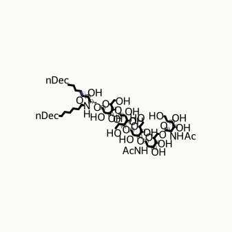 CCCCCCCCCCCCC/C=C/[C@@H](O)[C@H](CO[C@@H]1OC(CO)[C@@H](O[C@@H]2OC(CO)[C@H](O[C@@H]3OC(CO)[C@H](O)[C@H](O[C@@H]4OC(CO[C@@H]5OC(CO)[C@@H](O)[C@H](O)C5NC(C)=O)[C@H](O)[C@H](O)C4NC(C)=O)C3O)[C@H](O)C2O)[C@H](O)C1O)NC(=O)CCCCCCCCCCCCCCC